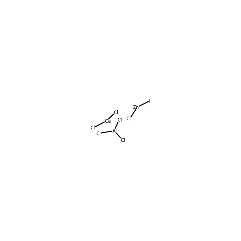 [Cl][Al]([Cl])[Cl].[Cl][Ca][Cl].[Cl][Zn][I]